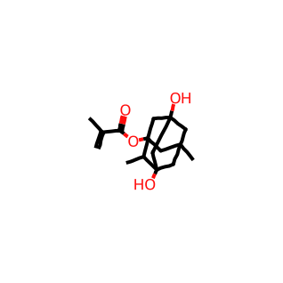 C=C(C)C(=O)OC12CC3(C)CC(O)(CC(O)(C3)C1C)C2